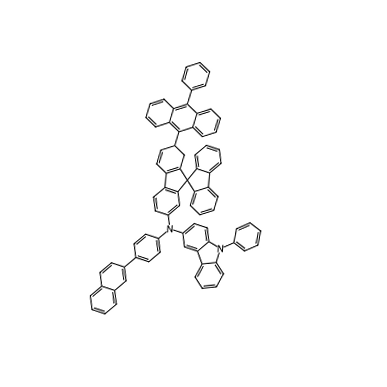 C1=CC(c2c3ccccc3c(-c3ccccc3)c3ccccc23)CC2=C1c1ccc(N(c3ccc(-c4ccc5ccccc5c4)cc3)c3ccc4c(c3)c3ccccc3n4-c3ccccc3)cc1C21c2ccccc2-c2ccccc21